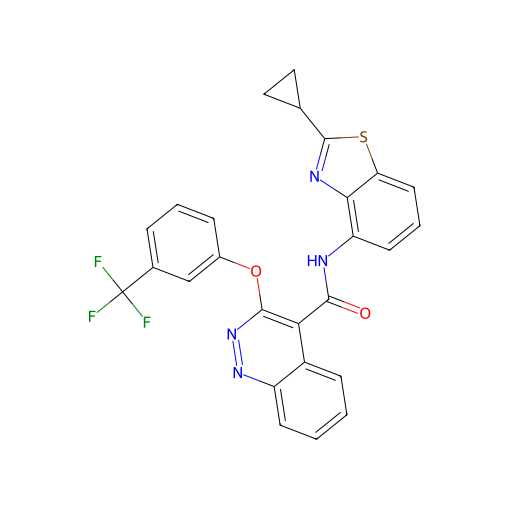 O=C(Nc1cccc2sc(C3CC3)nc12)c1c(Oc2cccc(C(F)(F)F)c2)nnc2ccccc12